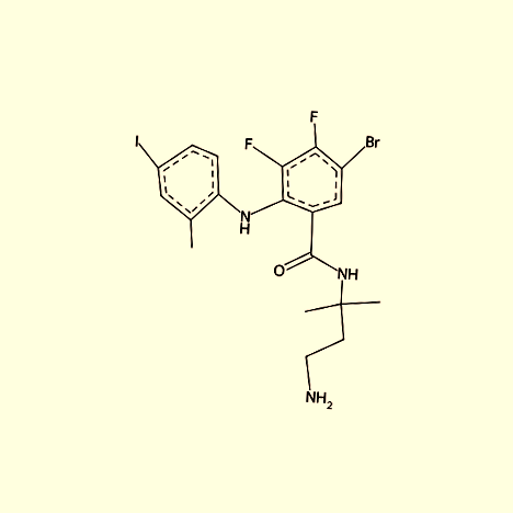 Cc1cc(I)ccc1Nc1c(C(=O)NC(C)(C)CCN)cc(Br)c(F)c1F